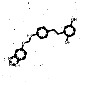 Oc1ccc(O)c(CCc2ccc(NCOc3ccc4[nH]nnc4c3)cc2)c1